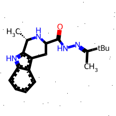 C/C(=N\NC(=O)C1Cc2c([nH]c3ccccc23)[C@H](C)N1)C(C)(C)C